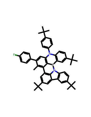 Cc1c(-c2ccc(F)cc2)cc2c3c1-c1cc(C(C)(C)C)cc4c5cc(C(C)(C)C)ccc5n(c14)B3c1cc(C(C)(C)C)ccc1N2c1ccc(C(C)(C)C)cc1